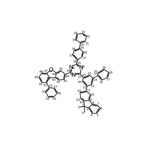 CC1(C)c2ccccc2-c2cc(-c3cc(-c4ccccc4)cc(-c4nc(-c5ccc(-c6ccccc6)cc5)nc(-c5ccc6c(c5)oc5cccc(-c7ccccc7)c56)n4)c3)ccc21